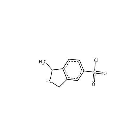 CC1NCc2cc(S(=O)(=O)Cl)ccc21